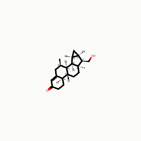 C[C@@H]1CC2=CC(=O)CC[C@@H]2[C@H]2CC[C@@]3(C)[C@H]([C@H]4C[C@H]4[C@H]3CO)[C@@H]21